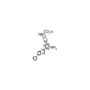 Nc1nc(NCc2ccc(-c3ccccc3)cc2)nc(N2CCC3(CC2)CNC(C(=O)O)C3)n1